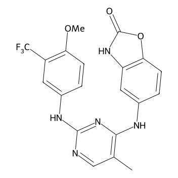 COc1ccc(Nc2ncc(C)c(Nc3ccc4oc(=O)[nH]c4c3)n2)cc1C(F)(F)F